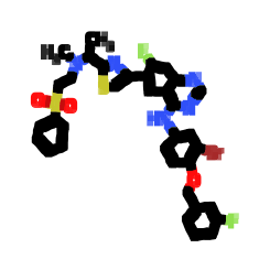 CC(c1nc(-c2cc3c(Nc4ccc(OCc5cccc(F)c5)c(Br)c4)ncnc3cc2F)cs1)N(C)CCS(=O)(=O)c1ccccc1